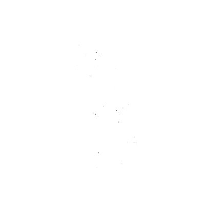 C=Cc1cc2c(cc1-c1ncc(-c3ccccc3O)cn1)CC(=O)N2